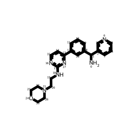 NC(c1cccnc1)c1cccc(-c2ccnc(NCCN3CCOCC3)n2)c1